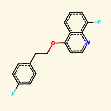 Fc1ccc(CCOc2ccnc3c(F)cccc23)cc1